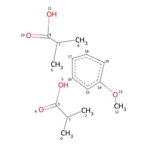 CC(C)C(=O)O.CC(C)C(=O)O.COc1ccccc1